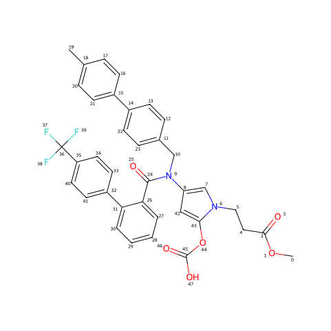 COC(=O)CCn1cc(N(Cc2ccc(-c3ccc(C)cc3)cc2)C(=O)c2ccccc2-c2ccc(C(F)(F)F)cc2)cc1OC(=O)O